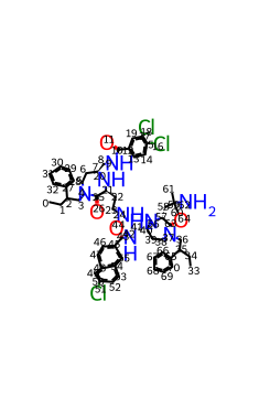 CCC(CN1CC[C@@H](CNC(=O)c2ccc(Cl)c(Cl)c2)N[C@@H](CCN)C1=O)c1ccccc1.CCC(CN1CC[C@H](CNC(=O)c2ccc3cc(Cl)ccc3c2)N[C@H](CC(C)(C)N)C1=O)c1ccccc1